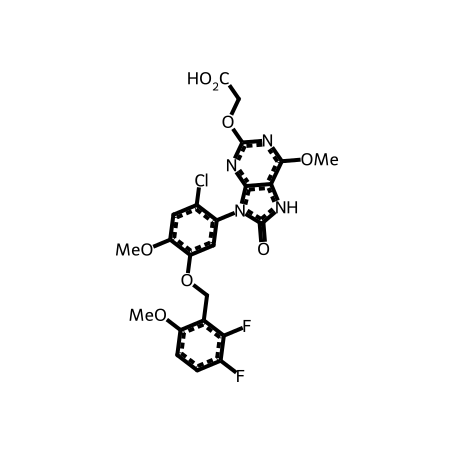 COc1cc(Cl)c(-n2c(=O)[nH]c3c(OC)nc(OCC(=O)O)nc32)cc1OCc1c(OC)ccc(F)c1F